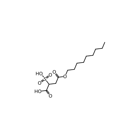 CCCCCCCCCOC(=O)CC(C(=O)O)S(=O)(=O)O